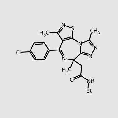 CCNC(=O)CC1(C)N=C(c2ccc(Cl)cc2)c2c(C)nsc2-n2c(C)nnc21